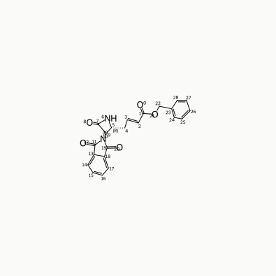 O=C(C=CC[C@H]1NC(=O)[C@@H]1N1C(=O)c2ccccc2C1=O)OCc1ccccc1